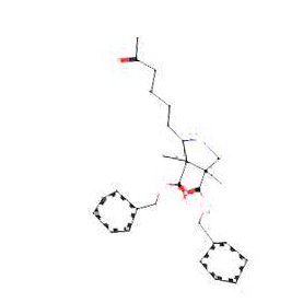 CC(=O)CCCCC1NCC(C)(C(=O)OCc2ccccc2)C1(C)C(=O)OCc1ccccc1